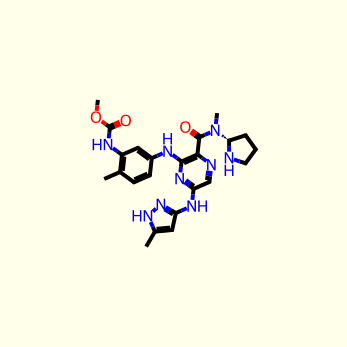 COC(=O)Nc1cc(Nc2nc(Nc3cc(C)[nH]n3)cnc2C(=O)N(C)[C@@H]2CCCN2)ccc1C